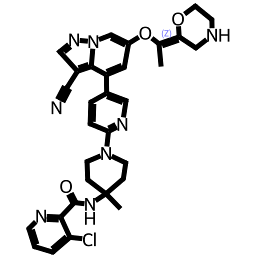 C/C(Oc1cc(-c2ccc(N3CCC(C)(NC(=O)c4ncccc4Cl)CC3)nc2)c2c(C#N)cnn2c1)=C1\CNCCO1